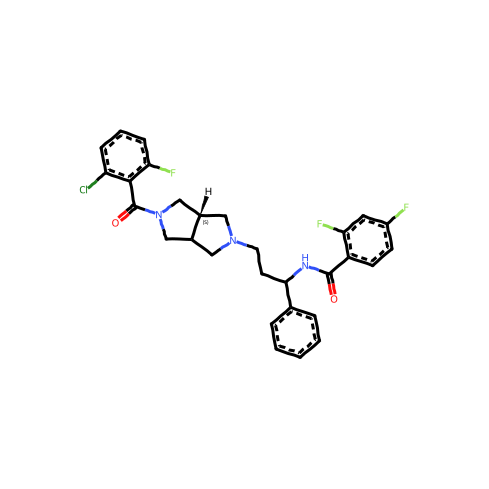 O=C(NC(CCN1CC2CN(C(=O)c3c(F)cccc3Cl)C[C@@H]2C1)c1ccccc1)c1ccc(F)cc1F